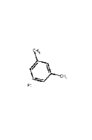 Cc1c[c]cc(C)c1.[Pt]